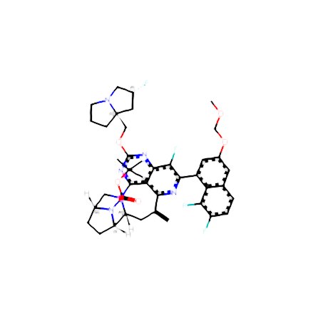 C=C1C[C@@H]2[C@@H]3CC[C@H](CN2c2nc(OC[C@@]45CCCN4C[C@H](F)C5)nc4c(F)c(-c5cc(OCOC)cc6ccc(F)c(F)c56)nc1c24)N3C(=O)OC(C)(C)C